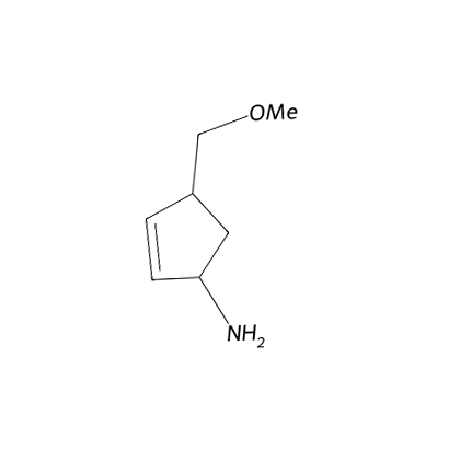 COCC1C=CC(N)C1